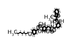 CCCCCCCOc1ccc(C(=O)Oc2ccc(CC(NC(=O)c3cccc(NC(=O)c4oc5ccccc5c4C)c3)C(=O)O)cc2OC)cc1